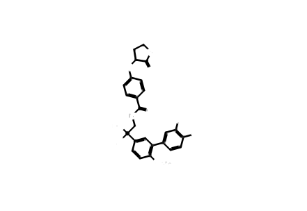 COc1ccc(C(O)(CNC(=O)c2ccc(OC3CCNC3=O)cc2)C(F)(F)F)cc1-c1ccc(F)c(Cl)c1